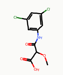 COC(C(=O)O)C(=O)Nc1cc(Cl)cc(Cl)c1